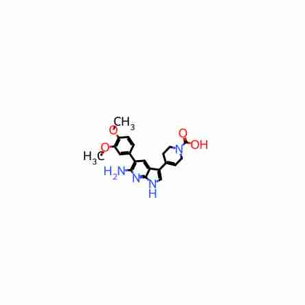 COc1ccc(-c2cc3c(C4=CCN(C(=O)O)CC4)c[nH]c3nc2N)cc1OC